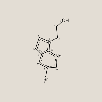 OCCn1ccc2cc(Br)cnc21